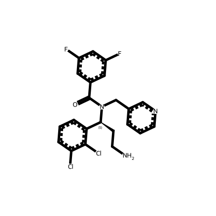 NCC[C@@H](c1cccc(Cl)c1Cl)N(Cc1cccnc1)C(=O)c1cc(F)cc(F)c1